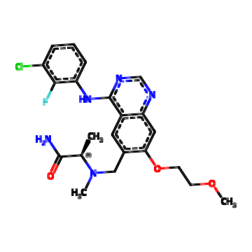 COCCOc1cc2ncnc(Nc3cccc(Cl)c3F)c2cc1CN(C)[C@H](C)C(N)=O